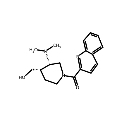 CN(C)[C@@H]1CN(C(=O)c2ccc3ccccc3n2)CC[C@@H]1CO